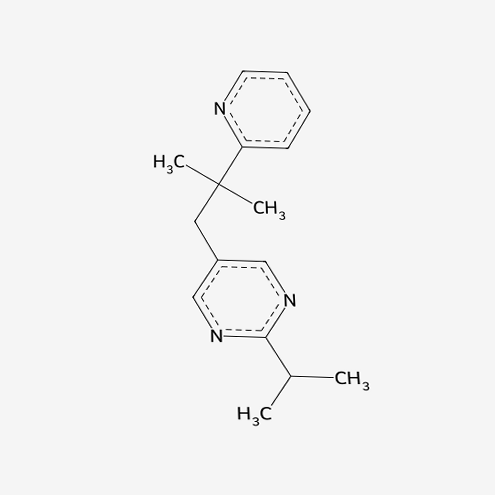 CC(C)c1ncc(CC(C)(C)c2ccccn2)cn1